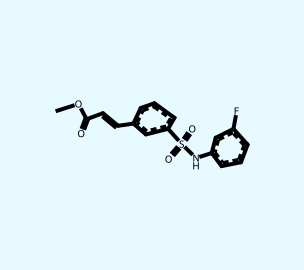 COC(=O)/C=C/c1cccc(S(=O)(=O)Nc2cccc(F)c2)c1